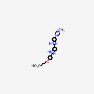 CN1CCN(c2ccc3[nH]c(-c4ccc5nc(-c6ccc(OCCCCC(=O)O)cc6)[nH]c5c4)nc3c2)CC1